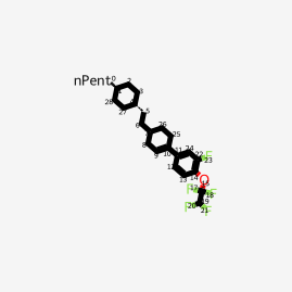 CCCCC[C@H]1CC[C@H](CCC2CC=C(c3ccc(OC(F)(F)C(F)F)c(F)c3)CC2)CC1